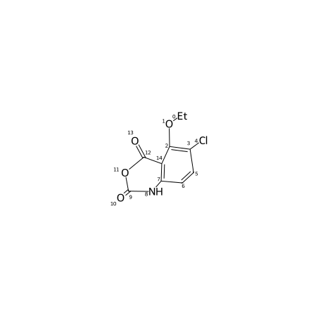 CCOc1c(Cl)ccc2[nH]c(=O)oc(=O)c12